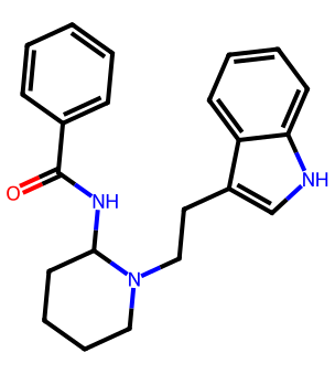 O=C(NC1CCCCN1CCc1c[nH]c2ccccc12)c1ccccc1